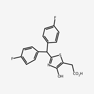 O=C(O)Cc1sc(C(c2ccc(F)cc2)c2ccc(F)cc2)nc1O